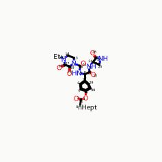 CCCCCCCC(=O)Oc1ccc(C(NC(=O)N2CCN(CC)C(=O)C2=O)C(=O)NC2CNC2=O)cc1